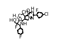 CC(C)c1c(C(=O)N[C@@H](c2ccc(F)cc2)C(F)(F)CO)cn2nc(-c3ccc(Cl)cc3F)[nH]c(=O)c12